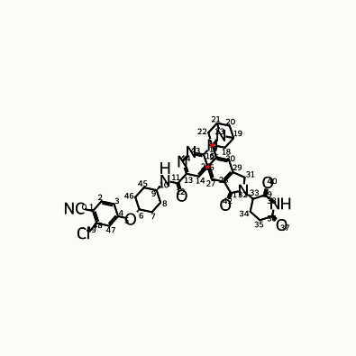 N#Cc1ccc(O[C@H]2CC[C@H](NC(=O)c3ccc(N4CC5CC(C4)N5Cc4ccc5c(c4)CN(C4CCC(=O)NC4=O)C5=O)nn3)CC2)cc1Cl